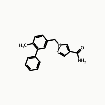 Cc1ccc(Cn2cc(C(N)=O)cn2)cc1-c1ccccc1